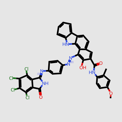 COc1ccc(NC(=O)c2cc3ccc4c5ccccc5[nH]c4c3c(/N=N/c3ccc(/N=C4\NC(=O)c5c(Cl)c(Cl)c(Cl)c(Cl)c54)cc3)c2O)c(C)c1